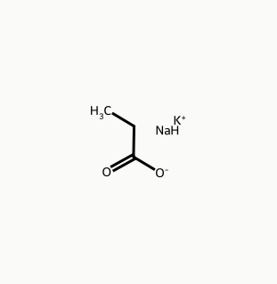 CCC(=O)[O-].[K+].[NaH]